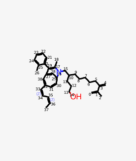 C=C(C)C(=C)CCCCCC(CCCO)CN1C(C)=C(c2ccccc2C)C2=CC1C=CC(/C=C\C=C/C)=C2